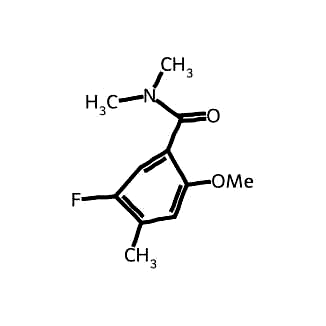 COc1cc(C)c(F)cc1C(=O)N(C)C